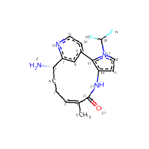 C/C1=C/CC[C@H](N)c2cc(ccn2)-c2c(ccn2C(F)F)NC1=O